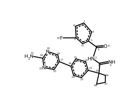 N=C(NC(=O)c1cccc(F)c1)C1(c2ccc(-c3cnc(N)nc3)cc2)CCC1